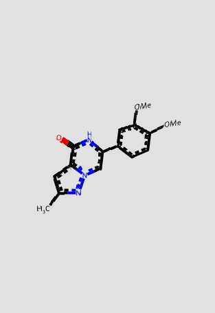 COc1ccc(-c2cn3nc(C)cc3c(=O)[nH]2)cc1OC